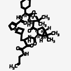 C=CCNC(=O)C(=O)C(CC1CCC1)NC(=O)[C@@H]1[C@@H]2[C@H](CN1C(=O)[C@@H](NC(=O)[C@@H](NC(=O)C1=CCCS1)C1CCCCC1)C(C)(C)C)C2(C)C